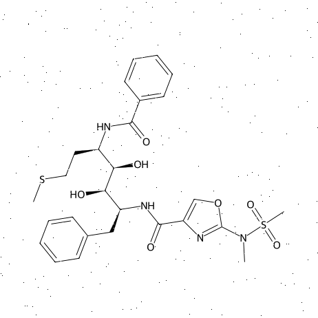 CSCC[C@@H](NC(=O)c1ccccc1)[C@@H](O)[C@H](O)[C@H](Cc1ccccc1)NC(=O)c1coc(N(C)S(C)(=O)=O)n1